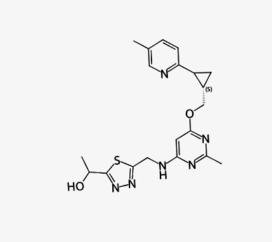 Cc1ccc(C2C[C@@H]2COc2cc(NCc3nnc(C(C)O)s3)nc(C)n2)nc1